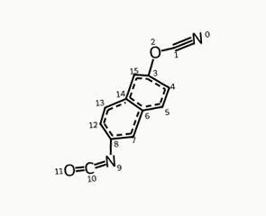 N#COc1ccc2cc(N=C=O)ccc2c1